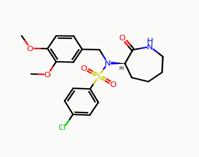 COc1ccc(CN([C@@H]2CCCCNC2=O)S(=O)(=O)c2ccc(Cl)cc2)cc1OC